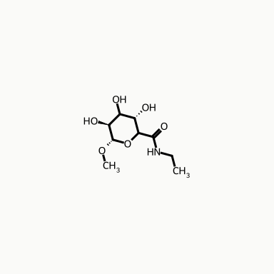 CCNC(=O)C1O[C@H](OC)[C@@H](O)C(O)[C@@H]1O